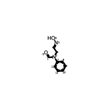 O=[C]N(CC=NO)c1ccccc1